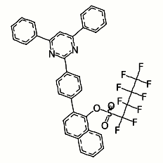 O=S(=O)(Oc1c(-c2ccc(-c3nc(-c4ccccc4)cc(-c4ccccc4)n3)cc2)ccc2ccccc12)C(F)(F)C(F)(F)C(F)(F)C(F)(F)F